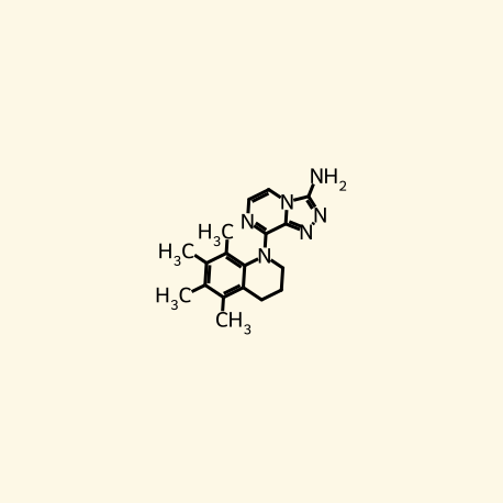 Cc1c(C)c(C)c2c(c1C)CCCN2c1nccn2c(N)nnc12